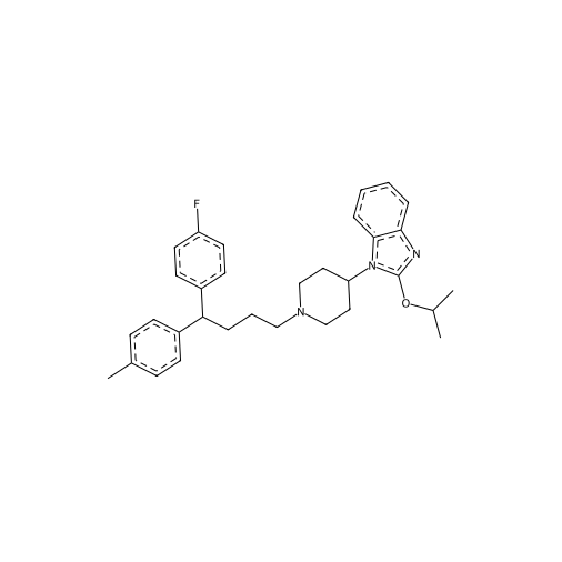 Cc1ccc(C(CCCN2CCC(n3c(OC(C)C)nc4ccccc43)CC2)c2ccc(F)cc2)cc1